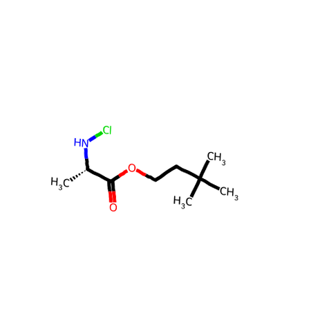 C[C@H](NCl)C(=O)OCCC(C)(C)C